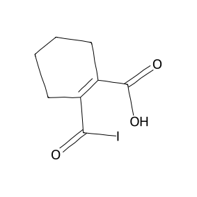 O=C(O)C1=C(C(=O)I)CCCC1